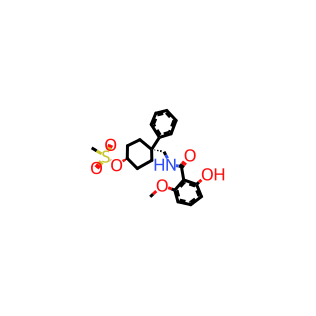 COc1cccc(O)c1C(=O)NC[C@]1(c2ccccc2)CC[C@@H](OS(C)(=O)=O)CC1